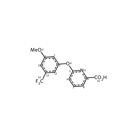 COc1cc(Oc2cccc(C(=O)O)n2)cc(C(F)(F)F)c1